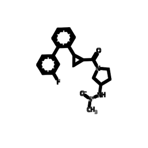 C[S+]([O-])NC1CCN(C(=O)C2CC2c2ccccc2-c2cccc(F)c2)C1